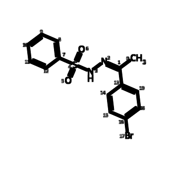 CC(=NNS(=O)(=O)c1ccccc1)c1ccc(Br)cc1